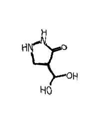 O=C1NNCC1C(O)O